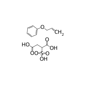 C=CCOc1ccccc1.O=C(O)CC(C(=O)O)S(=O)(=O)O